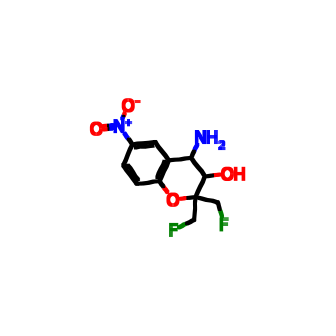 NC1c2cc([N+](=O)[O-])ccc2OC(CF)(CF)C1O